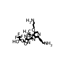 CCn1c(-c2nonc2N)nc2c(C#CCN)ncc(OCCCN)c21.O=C(O)C(F)(F)F